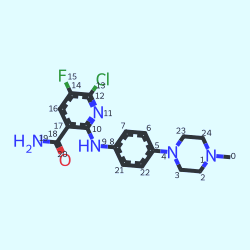 CN1CCN(c2ccc(Nc3nc(Cl)c(F)cc3C(N)=O)cc2)CC1